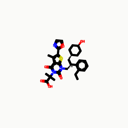 CCc1ccccc1[C@H](Cn1c(=O)n(C(C)(C)C(=O)O)c(=O)c2c(C)c(-c3ncco3)sc21)C[C@H]1CC[C@H](O)CC1